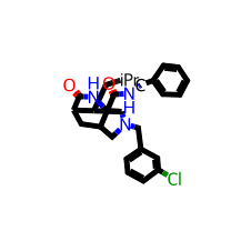 CC(C)CC1C2CC3CN(Cc4cccc(Cl)c4)C1C3(C(=O)NCc1ccccc1)NC2=O